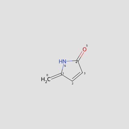 C=C1C=CC(=O)N1